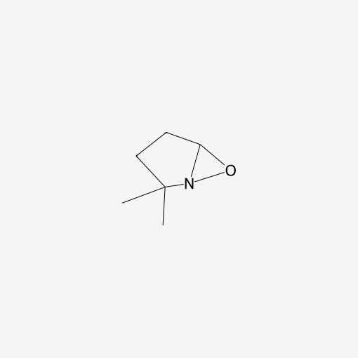 CC1(C)CCC2ON21